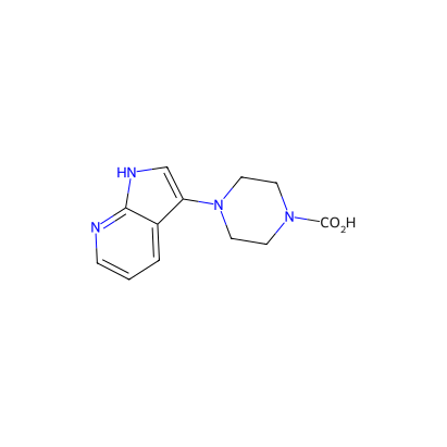 O=C(O)N1CCN(c2c[nH]c3ncccc23)CC1